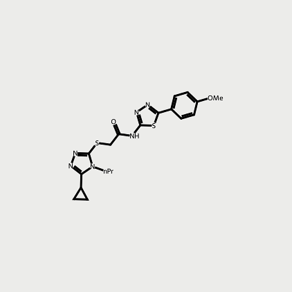 CCCn1c(SCC(=O)Nc2nnc(-c3ccc(OC)cc3)s2)nnc1C1CC1